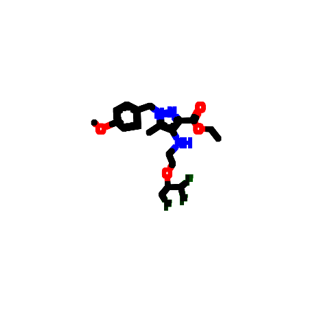 CCOC(=O)c1nn(Cc2ccc(OC)cc2)c(C)c1NCCOC(CF)C(F)F